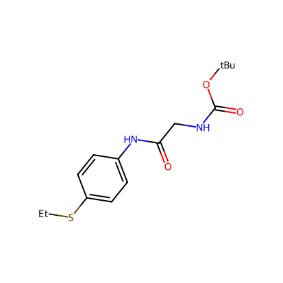 CCSc1ccc(NC(=O)CNC(=O)OC(C)(C)C)cc1